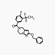 CC(F)(F)c1cc(C(=O)N2CCn3nc(OCc4ccccc4)cc3C2)ccc1F